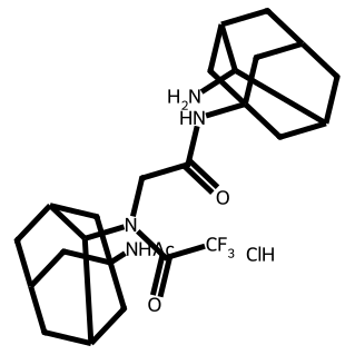 CC(=O)NC12CC3CC(C1)C(N(CC(=O)NC14CC5CC(C1)C(N)C(C5)C4)C(=O)C(F)(F)F)C(C3)C2.Cl